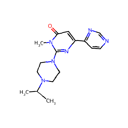 CC(C)N1CCN(c2nc(-c3ccncn3)cc(=O)n2C)CC1